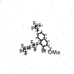 COCc1cc2ccccc2cc1Br.F[B-](F)(F)F.F[B-](F)(F)F.F[B-](F)(F)F